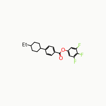 CCC1CCC(c2ccc(C(=O)Oc3cc(F)c(F)c(F)c3)cc2)CC1